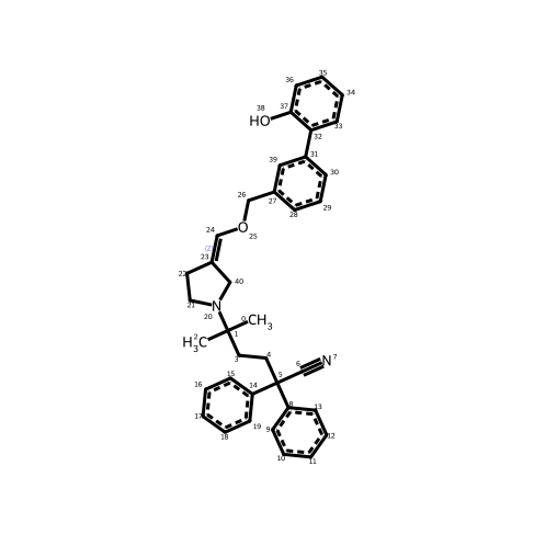 CC(C)(CCC(C#N)(c1ccccc1)c1ccccc1)N1CC/C(=C/OCc2cccc(-c3ccccc3O)c2)C1